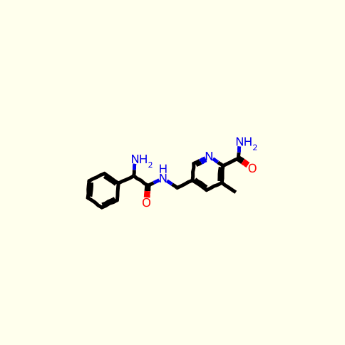 Cc1cc(CNC(=O)C(N)c2ccccc2)cnc1C(N)=O